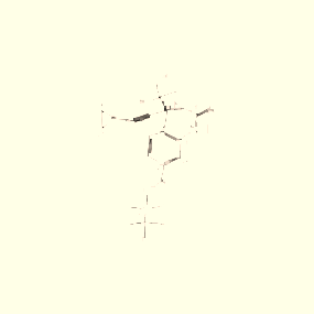 CC(C)(C)[Si](C)(C)OCc1ccc2c(c1)NC(=O)NC2(C#CC1CC1)C(F)(F)F